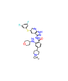 CN1CCC(c2ccc(C(=O)Nc3n[nH]c4ncc(Sc5cc(F)cc(F)c5)cc34)c(NC3CCOCC3)c2)CC1